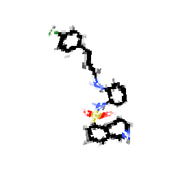 O=S(=O)(Nc1ccccc1NC/C=C/c1ccc(Cl)cc1)c1cccc2cnccc12